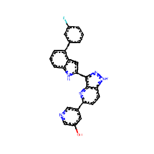 Oc1cncc(-c2ccc3[nH]nc(-c4cc5c(-c6cccc(F)c6)cccc5[nH]4)c3n2)c1